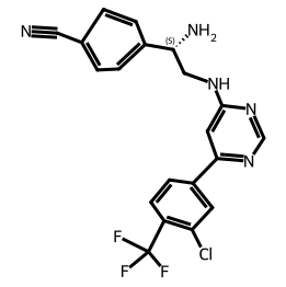 N#Cc1ccc([C@H](N)CNc2cc(-c3ccc(C(F)(F)F)c(Cl)c3)ncn2)cc1